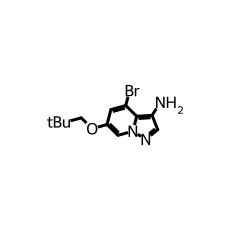 CC(C)(C)COc1cc(Br)c2c(N)cnn2c1